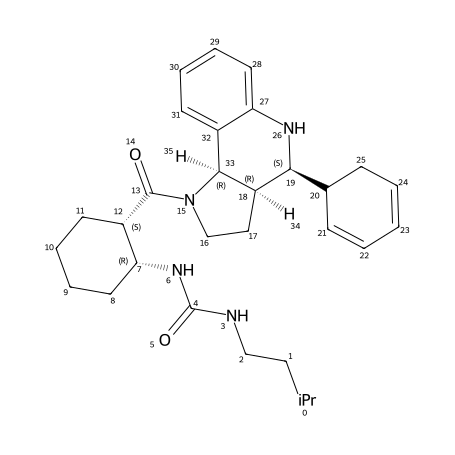 CC(C)CCNC(=O)N[C@@H]1CCCC[C@@H]1C(=O)N1CC[C@@H]2[C@H](C3C=CC=CC3)Nc3ccccc3[C@@H]21